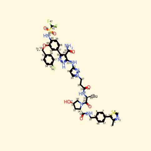 Cc1ncsc1-c1ccc(CNC(=O)[C@@H]2C[C@@H](O)CN2C(=O)[C@@H](NC(=O)CCn2ccc(Nc3[nH]nc(-c4ccc(NS(=O)(=O)C(F)F)c(O[C@@H](C)c5ccc(F)cc5)c4)c3C(N)=O)n2)C(C)(C)C)cc1